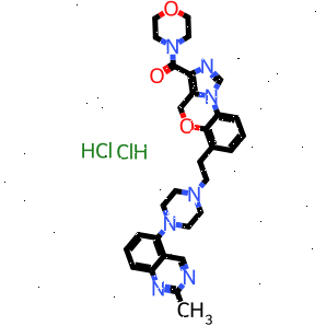 Cc1ncc2c(N3CCN(CCc4cccc5c4OCc4c(C(=O)N6CCOCC6)ncn4-5)CC3)cccc2n1.Cl.Cl